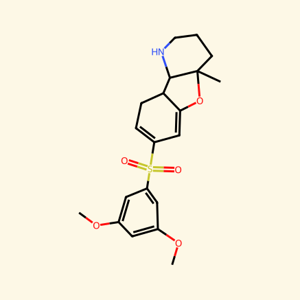 COc1cc(OC)cc(S(=O)(=O)C2=CCC3C(=C2)OC2(C)CCCNC32)c1